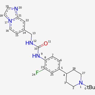 CC(C)(C)N1CCC(c2ccc(NC(=O)NCc3ccn4ccnc4c3)c(F)c2)CC1